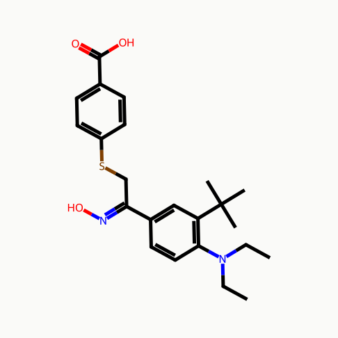 CCN(CC)c1ccc(C(CSc2ccc(C(=O)O)cc2)=NO)cc1C(C)(C)C